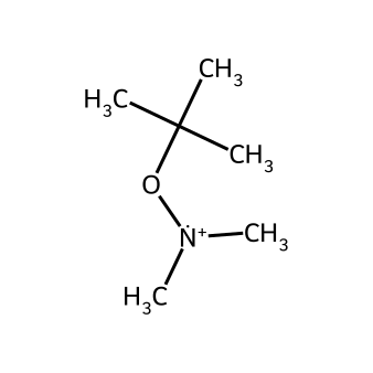 C[N+](C)OC(C)(C)C